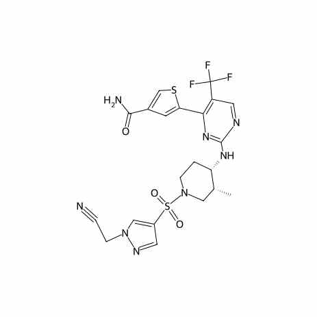 C[C@@H]1CN(S(=O)(=O)c2cnn(CC#N)c2)CC[C@@H]1Nc1ncc(C(F)(F)F)c(-c2cc(C(N)=O)cs2)n1